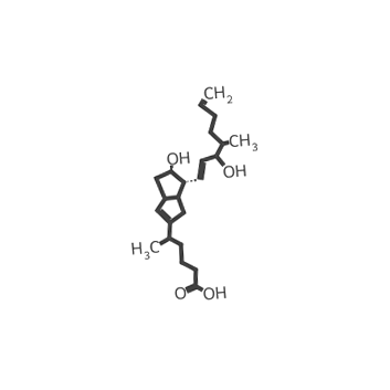 C=CCCC(C)C(O)/C=C/[C@@H]1C2CC(C(C)CCCC(=O)O)=CC2C[C@H]1O